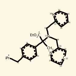 CCOC(=O)C(C)(c1ccc(CC(C)C)cc1)N(Cc1ccccn1)Cc1ccccn1